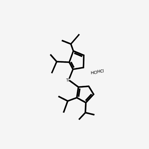 CC(C)C1=CC[C]([Ti][C]2=C(C(C)C)C(C(C)C)=CC2)=C1C(C)C.Cl.Cl